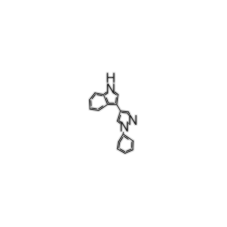 c1ccc(-n2cc(-c3c[nH]c4ccccc34)cn2)cc1